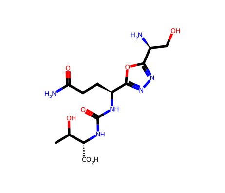 CC(O)[C@H](NC(=O)N[C@@H](CCC(N)=O)c1nnc([C@@H](N)CO)o1)C(=O)O